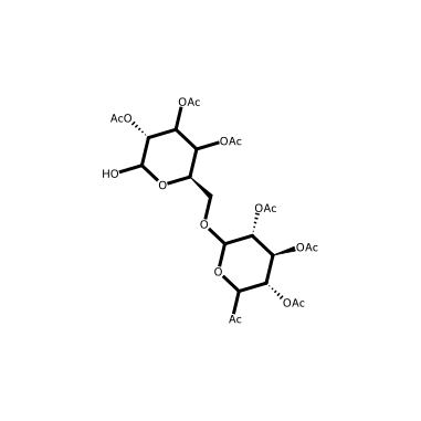 CC(=O)OC1C(OC(C)=O)[C@@H](COC2OC(C(C)=O)[C@@H](OC(C)=O)[C@H](OC(C)=O)[C@H]2OC(C)=O)OC(O)[C@@H]1OC(C)=O